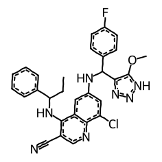 CCC(Nc1c(C#N)cnc2c(Cl)cc(NC(c3ccc(F)cc3)c3nn[nH]c3OC)cc12)c1ccccc1